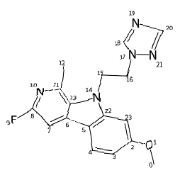 COc1ccc2c3cc(F)nc(C)c3n(CCn3cncn3)c2c1